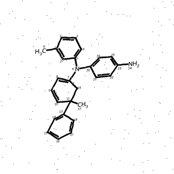 Cc1cccc(N(C2=CC=CC(C)(c3ccccc3)C2)c2ccc(N)cc2)c1